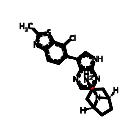 Cc1nc2ccc(-c3c[nH]c4nc(N5[C@@H]6CC[C@H]5C[C@@H](N)C6)cnc34)c(Cl)c2s1